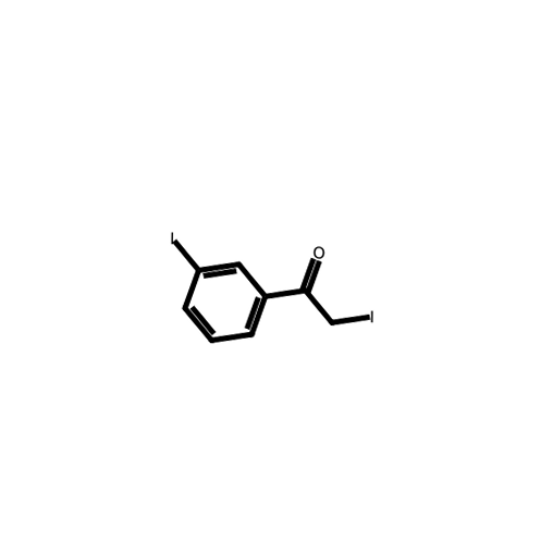 O=C(CI)c1cccc(I)c1